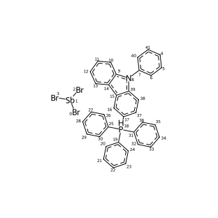 [Br][Sb]([Br])[Br].c1ccc(-n2c3ccccc3c3cc([PH](c4ccccc4)(c4ccccc4)c4ccccc4)ccc32)cc1